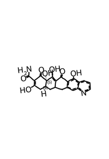 NC(=O)C1=C(O)C[C@@H]2CC3Cc4cc5ncccc5c(O)c4C(=O)C3=C(O)[C@]2(O)C1=O